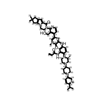 C=CC(=O)Nc1cc(Nc2nc(-c3ccnc(N4CCn5c(cc6c5CC(C)(C)C6)C4=O)c3CO)cn(C)c2=O)ccc1N1CCN(C2CCN(c3ccc(C(C)C)nc3)CC2)C[C@@H]1C